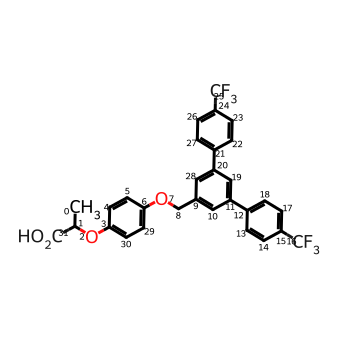 CC(Oc1ccc(OCc2cc(-c3ccc(C(F)(F)F)cc3)cc(-c3ccc(C(F)(F)F)cc3)c2)cc1)C(=O)O